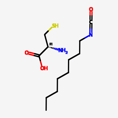 CCCCCCCCN=C=O.N[C@@H](CS)C(=O)O